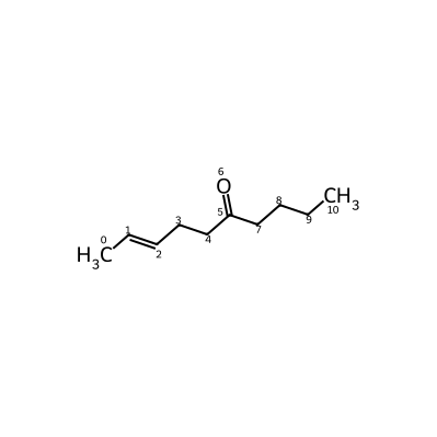 C/C=C/CCC(=O)CCCC